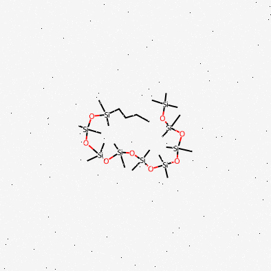 CCCC[Si](C)(C)O[Si](C)(C)O[Si](C)(C)O[Si](C)(C)O[Si](C)(C)O[Si](C)(C)O[Si](C)(C)O[Si](C)(C)O[Si](C)(C)C